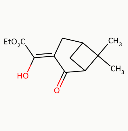 CCOC(=O)/C(O)=C1\CC2CC(C1=O)C2(C)C